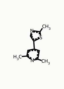 Cc1cc(-c2cnc(C)s2)cc(C)n1